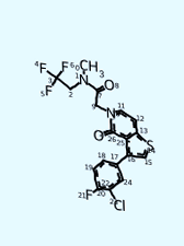 CN(CC(F)(F)F)C(=O)Cn1ccc2scc(-c3ccc(F)c(Cl)c3)c2c1=O